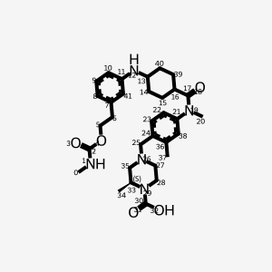 CNC(=O)OCCc1cccc(NC2CCC(C(=O)N(C)c3ccc(CN4CCN(C(=O)O)[C@@H](C)C4)c(C)c3)CC2)c1